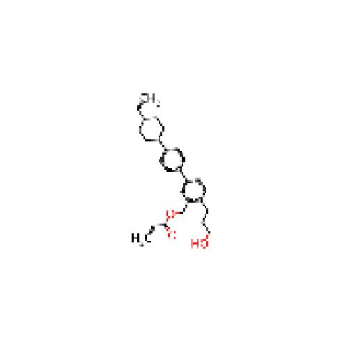 C=CC(=O)OCc1cc(-c2ccc(C3CCC(C=C)CC3)cc2)ccc1CCCO